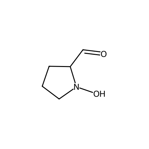 O=CC1CCCN1O